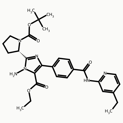 CCOC(=O)c1c(-c2ccc(C(=O)Nc3cc(CC)ccn3)cc2)nc([C@@H]2CCCN2C(=O)OC(C)(C)C)n1N